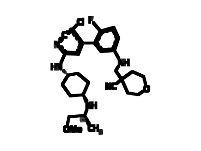 COC[C@H](C)N[C@H]1CC[C@H](Nc2cc(-c3cc(NCC4(C#N)CCOCC4)ccc3F)c(Cl)cn2)CC1